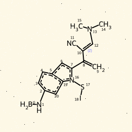 BNc1ccc2cc(C(=C)/C(C#N)=C/N(C)C)n(SI)c2c1